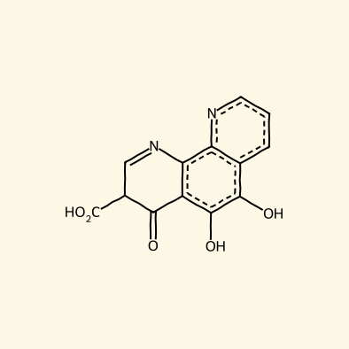 O=C(O)C1C=Nc2c(c(O)c(O)c3cccnc23)C1=O